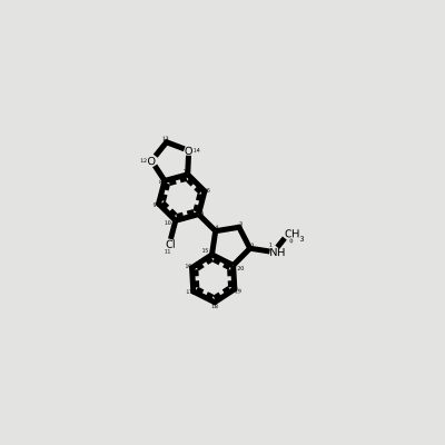 CNC1CC(c2cc3c(cc2Cl)OCO3)c2ccccc21